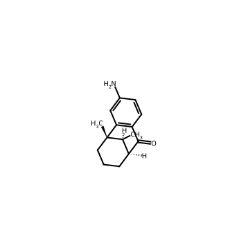 C[C@H]1[C@@H]2CCC[C@]1(C)c1cc(N)ccc1C2=O